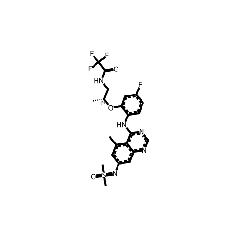 Cc1cc(N=S(C)(C)=O)cc2ncnc(Nc3ccc(F)cc3O[C@H](C)CNC(=O)C(F)(F)F)c12